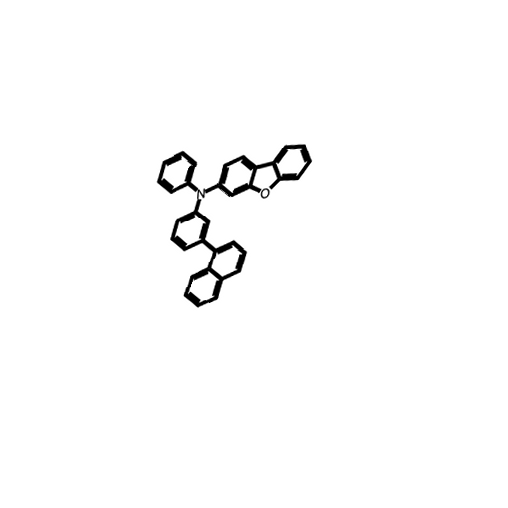 c1ccc(N(c2cccc(-c3cccc4ccccc34)c2)c2ccc3c(c2)oc2ccccc23)cc1